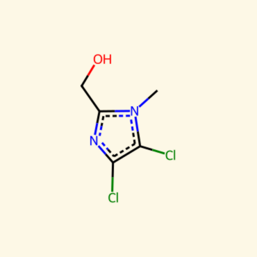 Cn1c(CO)nc(Cl)c1Cl